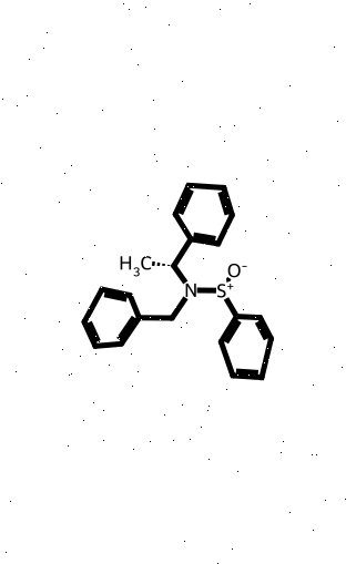 C[C@H](c1ccccc1)N(Cc1ccccc1)[S@+]([O-])c1ccccc1